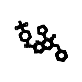 CS(=O)(=O)N1CCC(Nc2ncc3cc(Cc4ccccc4)c(=O)n(C4CCCC4)c3n2)CC1